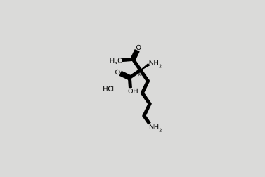 CC(=O)[C@](N)(CCCCN)C(=O)O.Cl